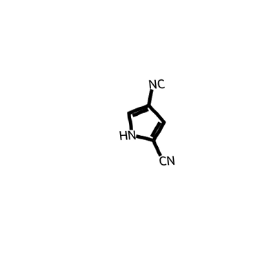 [C-]#[N+]c1c[nH]c(C#N)c1